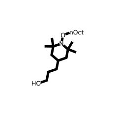 CCCCCCCCON1C(C)(C)CC(CCCO)CC1(C)C